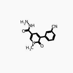 Cn1cc(C(=O)NN)cc(-c2cccc(C#N)c2)c1=O